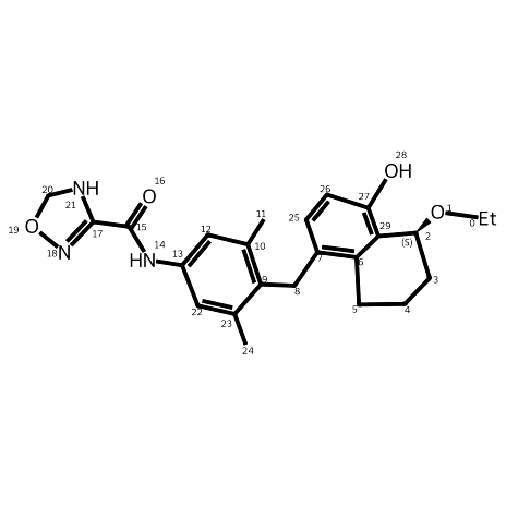 CCO[C@H]1CCCc2c(Cc3c(C)cc(NC(=O)C4=NOCN4)cc3C)ccc(O)c21